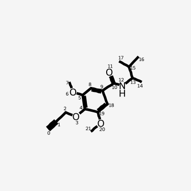 C#CCOc1c(OC)cc(C(=O)NC(C)C(C)C)cc1OC